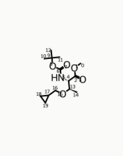 COC(=O)[C@@H](NC(=O)OC(C)(C)C)[C@@H](C)OCC1CC1